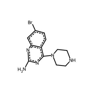 Nc1nc(N2CCNCC2)c2ccc(Br)cc2n1